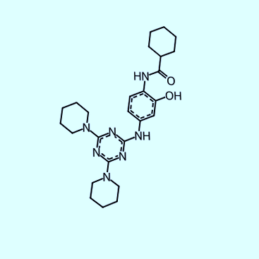 O=C(Nc1ccc(Nc2nc(N3CCCCC3)nc(N3CCCCC3)n2)cc1O)C1CCCCC1